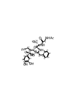 CC(=O)NCC(=O)N[C@H](C(=O)N[C@@H](Cc1ccccc1)[C@H](O)CN(CC(C)C)S(=O)(=O)c1ccc(O)c(O)c1)C(C)(C)C